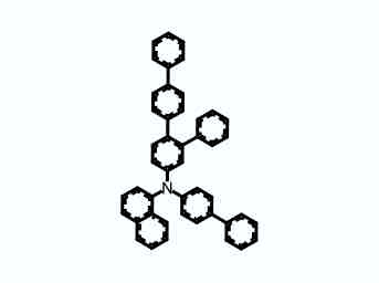 c1ccc(-c2ccc(-c3ccc(N(c4ccc(-c5ccccc5)cc4)c4cccc5ccccc45)cc3-c3ccccc3)cc2)cc1